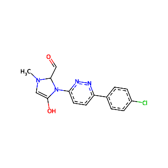 CN1C=C(O)N(c2ccc(-c3ccc(Cl)cc3)nn2)C1C=O